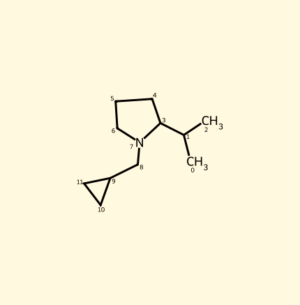 CC(C)C1CCCN1CC1CC1